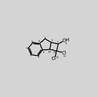 OC1C2Cc3ccccc3C2C1(Cl)Cl